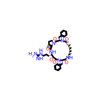 N=C(N)NCCC[C@@H]1NC(=O)[C@@H]2CCCN2C(=O)[C@@H](Cc2ccccc2)NC(=O)CCCCCNC(=O)[C@H](Cc2ccccc2)NC(=O)C1=O